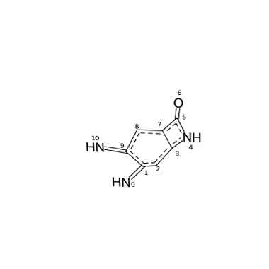 N=c1cc2[nH]c(=O)c-2cc1=N